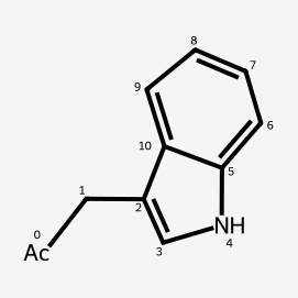 [CH2]C(=O)Cc1c[nH]c2ccccc12